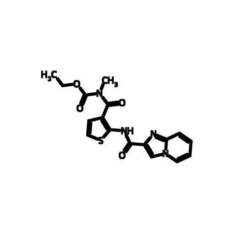 CCOC(=O)N(C)C(=O)c1ccsc1NC(=O)c1cn2ccccc2n1